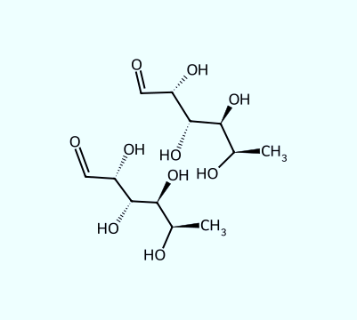 C[C@@H](O)[C@H](O)[C@H](O)[C@@H](O)C=O.C[C@@H](O)[C@H](O)[C@H](O)[C@@H](O)C=O